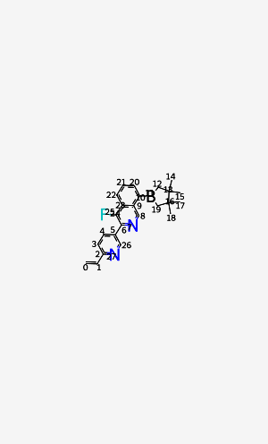 C=Cc1ccc(-c2ncc3c(B4CC(C)(C)C(C)(C)C4)cccc3c2F)cn1